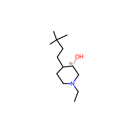 CCN1CCC(CCC(C)(C)C)[C@H](O)C1